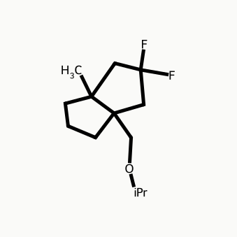 CC(C)OCC12CCCC1(C)CC(F)(F)C2